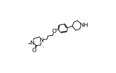 C[C@@H]1C(=O)N(C)CCN1CCCOc1ccc(C2CCNCC2)cc1